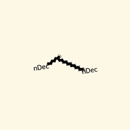 [CH2]C(CCCCCCCCCCCCCCC)CCCCCCCCCCCCCCCCCCCCCC